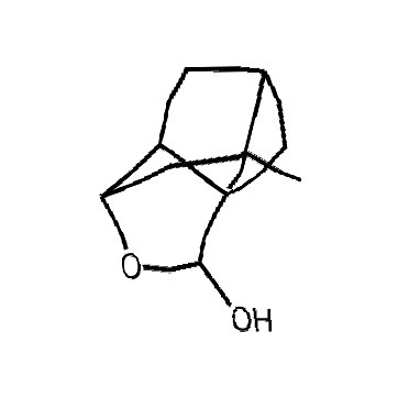 CC1(C)C2CC3C(O)OC1C3C2